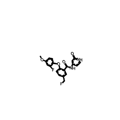 COc1ccc(Oc2ccc(CF)cc2C(=O)Nc2cc[nH]c(=O)c2)c(F)c1